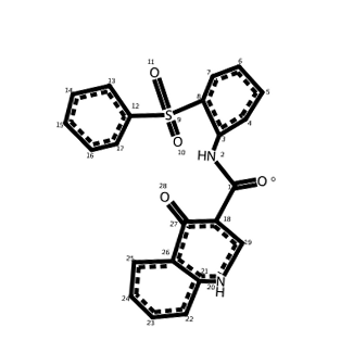 O=C(Nc1ccccc1S(=O)(=O)c1ccccc1)c1c[nH]c2ccccc2c1=O